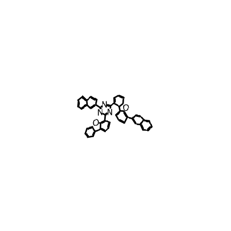 C1=CC2Oc3c(-c4ccc5ccccc5c4)cccc3C2C(c2nc(-c3ccc4ccccc4c3)nc(-c3cccc4c3oc3ccccc34)n2)=C1